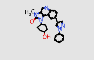 Cn1c(=O)n(C2CCC(O)CC2)c2c3cc(-c4cnn(-c5ccccc5)c4)ccc3ncc21